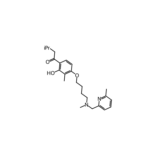 Cc1cccc(CN(C)CCCCOc2ccc(C(=O)CC(C)C)c(O)c2C)n1